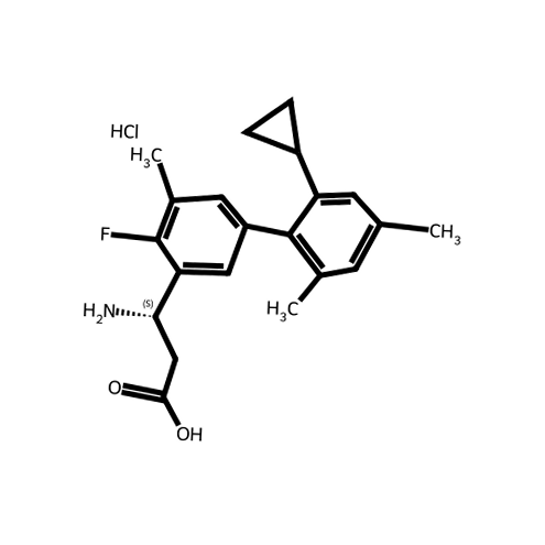 Cc1cc(C)c(-c2cc(C)c(F)c([C@@H](N)CC(=O)O)c2)c(C2CC2)c1.Cl